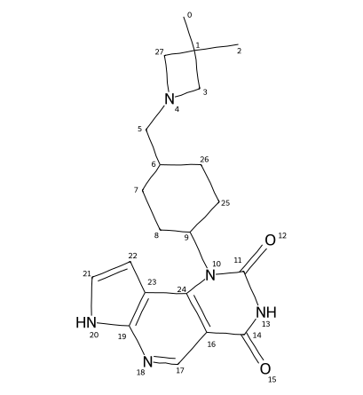 CC1(C)CN(CC2CCC(n3c(=O)[nH]c(=O)c4cnc5[nH]ccc5c43)CC2)C1